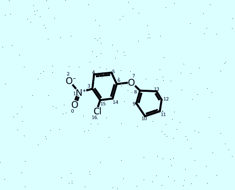 O=[N+]([O-])c1ccc(Oc2cc[c]cc2)cc1Cl